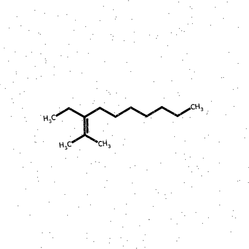 CCCCCCCC(CC)=C(C)C